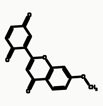 COc1ccc2c(=O)cc(C3=CC(=O)C=CC3=O)oc2c1